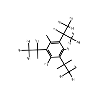 [2H]c1c(C([2H])(C)C([2H])([2H])[2H])c(I)c(C([2H])(C([2H])([2H])[2H])C([2H])([2H])[2H])c([2H])c1C(C)(C)C([2H])([2H])[2H]